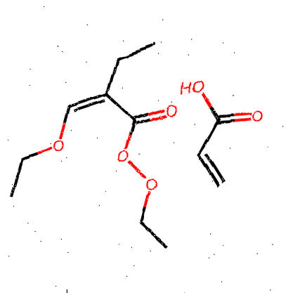 C=CC(=O)O.CCOC=C(CC)C(=O)OOCC